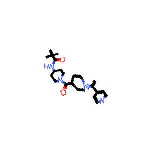 CC(c1ccncc1)N1CCC(C(=O)N2CCC(NC(=O)C(C)(C)C)CC2)CC1